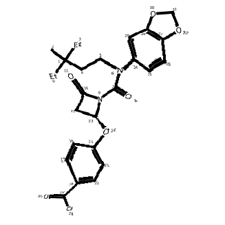 CCC(C)(CC)CCN(C(=O)N1C(=O)C[C@@H]1Oc1ccc(C(=O)Cl)cc1)c1ccc2c(c1)OCO2